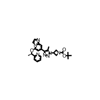 Cc1c(-c2cc(O[C@H](C)c3ccccn3)n3ccnc3c2)nnn1C1CN(C(=O)OC(C)(C)C)C1